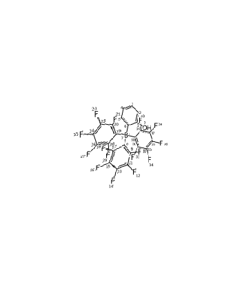 Oc1ccccc1[B-](c1c(F)c(F)c(F)c(F)c1F)(c1c(F)c(F)c(F)c(F)c1F)c1c(F)c(F)c(F)c(F)c1F